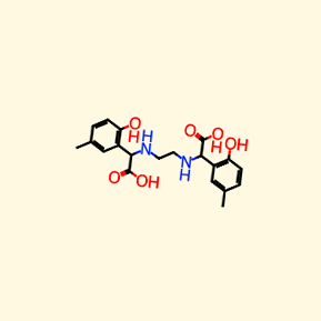 Cc1ccc(O)c(C(NCCNC(C(=O)O)c2cc(C)ccc2O)C(=O)O)c1